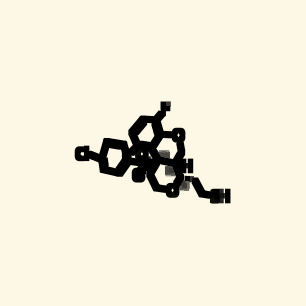 O=S(=O)(c1ccc(Cl)cc1)[C@@]12CCO[C@@H](CCS)[C@@H]1COc1c(F)ccc(F)c12